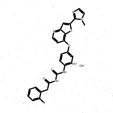 Cl.Cl.Cn1ccnc1-c1cc2nccc(Oc3ccc(NC(=S)NC(=O)Cc4ccccc4F)cc3)c2s1